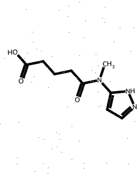 CN(C(=O)CCCC(=O)O)c1ccn[nH]1